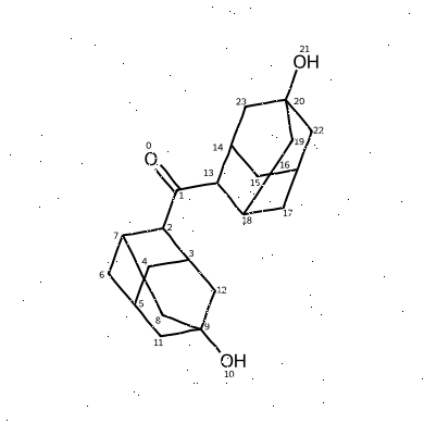 O=C(C1C2CC3CC1CC(O)(C3)C2)C1C2CC3CC1CC(O)(C3)C2